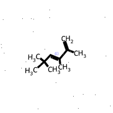 C=C(C)/C(C)=C/C(C)(C)C